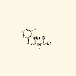 Cc1cccc(C)c1NC(=S)N(C)C(N)=O